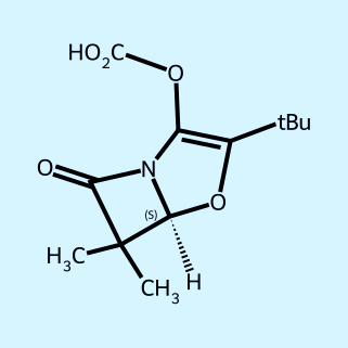 CC(C)(C)C1=C(OC(=O)O)N2C(=O)C(C)(C)[C@@H]2O1